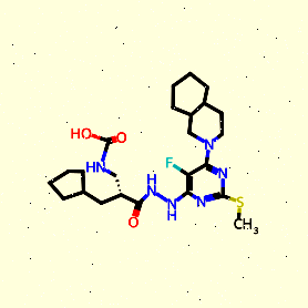 CSc1nc(NNC(=O)[C@@H](CNC(=O)O)CC2CCCC2)c(F)c(N2CCC3CCCCC3C2)n1